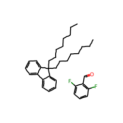 CCCCCCCCC1(CCCCCCCC)c2ccccc2-c2ccccc21.O=Cc1c(F)cccc1F